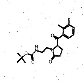 Cc1cccc(C(=O)C2CCC(=O)N2CCNC(=O)OC(C)(C)C)c1C